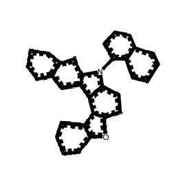 c1ccc2cc3c(cc2c1)c1c2c(ccc1n3-c1cccc3ccccc13)oc1ccccc12